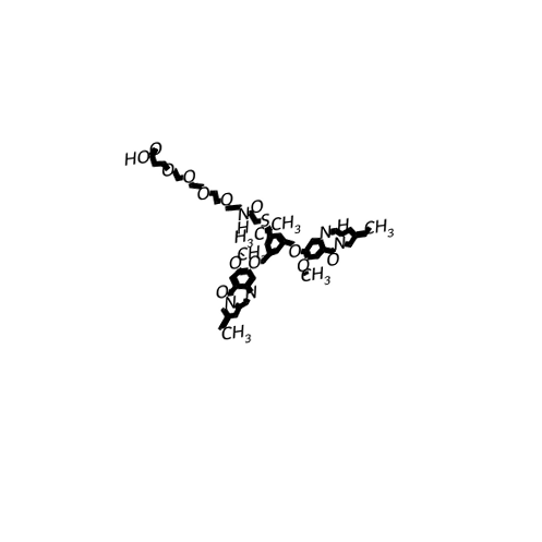 C/C=C1\CC2C=Nc3cc(OCc4cc(COc5cc6c(cc5OC)C(=O)N5C/C(=C/C)C[C@H]5C=N6)cc(C(C)(C)SCC(=O)NCCOCCOCCOCCOCCC(=O)O)c4)c(OC)cc3C(=O)N2C1